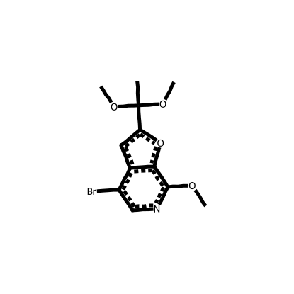 COc1ncc(Br)c2cc(C(C)(OC)OC)oc12